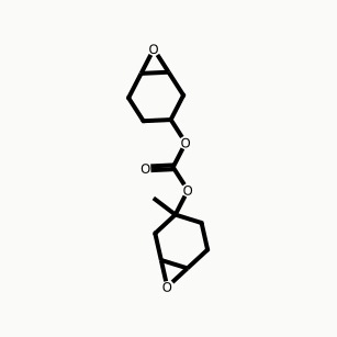 CC1(OC(=O)OC2CCC3OC3C2)CCC2OC2C1